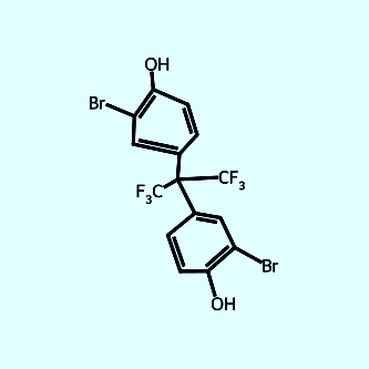 Oc1ccc(C(c2ccc(O)c(Br)c2)(C(F)(F)F)C(F)(F)F)cc1Br